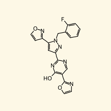 Oc1nc(-c2cc(-c3ccon3)n(Cc3ccccc3F)n2)ncc1-c1ncco1